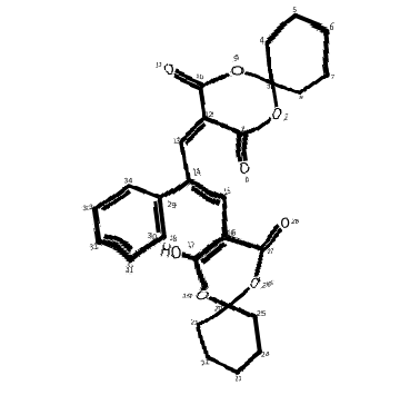 O=C1OC2(CCCCC2)OC(=O)C1=CC(=CC1=C(O)OC2(CCCCC2)OC1=O)c1ccccc1